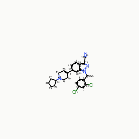 CC(c1ccc(Cl)cc1Cl)n1nc(C#N)c2ccc(C3=CCN(C4CCCC4)CC3)cc21